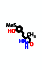 CSc1ccc(/C=C/C2NNC(=O)CC2C)cc1O